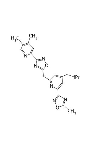 Cc1nc(-c2cc(CC(C)C)cc(Cc3nc(-c4cc(C)c(C)cn4)no3)n2)no1